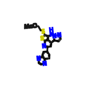 COCCSc1sc2nc(-c3ccc4nccnc4c3)cc3c2c1[nH]n1nccc31